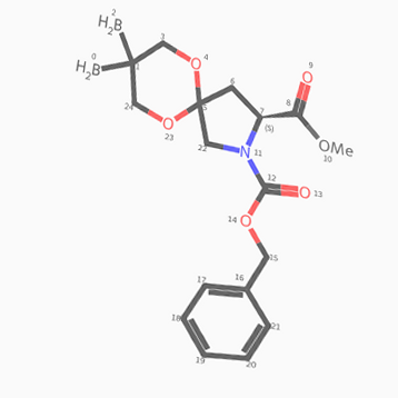 BC1(B)COC2(C[C@@H](C(=O)OC)N(C(=O)OCc3ccccc3)C2)OC1